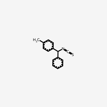 Cc1ccc(C(N=C=S)c2ccccc2)cc1